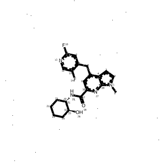 Cn1ccc2c(Cc3cc(F)ncc3F)cc(C(=O)N[C@H]3CCCC[C@@H]3O)nc21